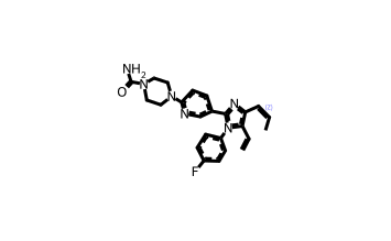 C=Cc1c(/C=C\C)nc(-c2ccc(N3CCN(C(N)=O)CC3)nc2)n1-c1ccc(F)cc1